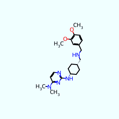 COc1ccc(CNC[C@H]2CC[C@@H](Nc3nccc(N(C)C)n3)CC2)cc1OC